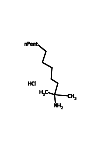 CCCCCCCCCCC(C)(C)N.Cl